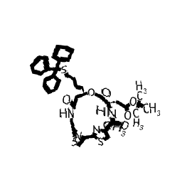 CC(C)(C)OC(=O)C[C@@H]1NC(=O)[C@]2(C)CSC(=N2)c2csc(n2)CNC(=O)C[C@@H](/C=C/CCSC(c2ccccc2)(c2ccccc2)c2ccccc2)OC1=O